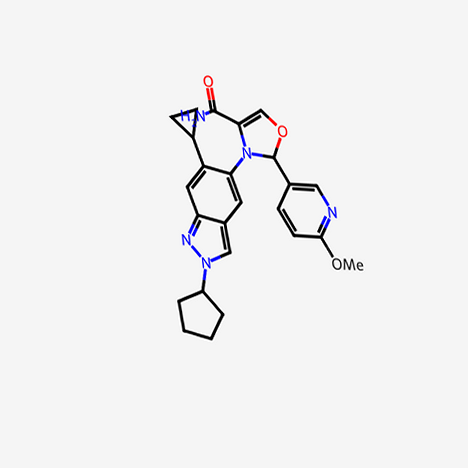 COc1ccc(C2OC=C(C(N)=O)N2c2cc3cn(C4CCCC4)nc3cc2C2CC2)cn1